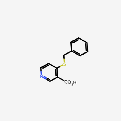 O=C(O)c1cnccc1SCc1ccccc1